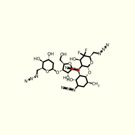 C[C@H]1CC(N=[N+]=[N-])[C@H](O)[C@@H](O[C@@H]2O[C@H](CO)[C@@H](O[C@@H]3C[C@@H](O)[C@H](O)[C@H](CN=[N+]=[N-])O3)[C@H]2O)[C@@H]1O[C@H]1O[C@H](CN=[N+]=[N-])C(F)(F)[C@H](O)C1N=[N+]=[N-]